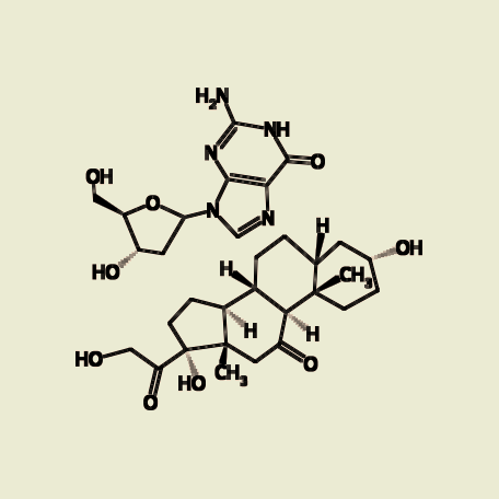 C[C@]12CC[C@@H](O)C[C@H]1CC[C@@H]1[C@@H]2C(=O)C[C@@]2(C)[C@H]1CC[C@]2(O)C(=O)CO.Nc1nc2c(ncn2C2C[C@H](O)[C@@H](CO)O2)c(=O)[nH]1